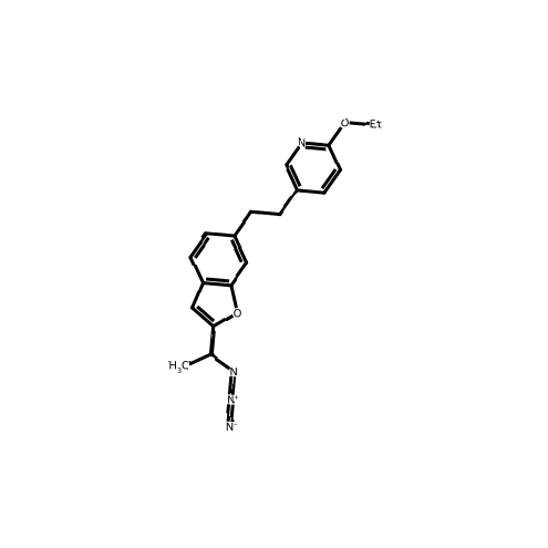 CCOc1ccc(CCc2ccc3cc(C(C)N=[N+]=[N-])oc3c2)cn1